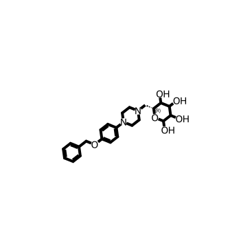 OC1O[C@H](CN2CCN(c3ccc(OCc4ccccc4)cc3)CC2)C(O)C(O)C1O